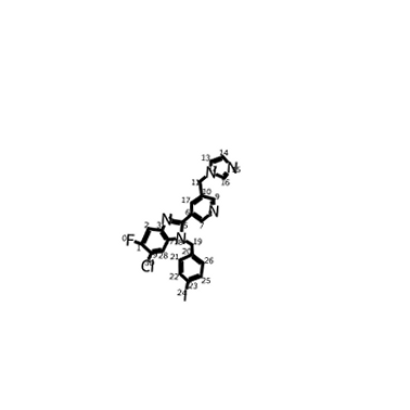 Fc1cc2nc(-c3cncc(Cn4ccnc4)c3)n(Cc3ccc(I)cc3)c2cc1Cl